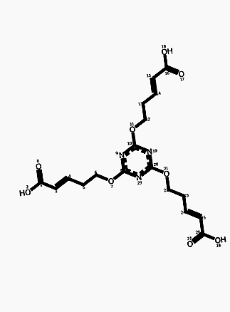 O=C(O)C=CCCOc1nc(OCCC=CC(=O)O)nc(OCCC=CC(=O)O)n1